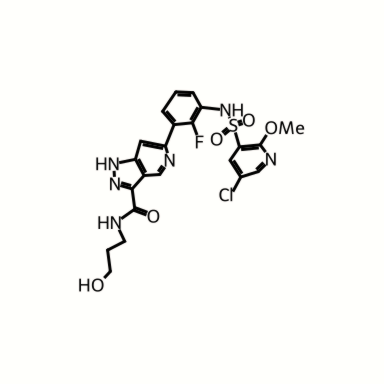 COc1ncc(Cl)cc1S(=O)(=O)Nc1cccc(-c2cc3[nH]nc(C(=O)NCCCO)c3cn2)c1F